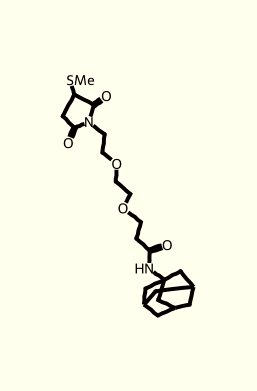 CSC1CC(=O)N(CCOCCOCCC(=O)NC23CC4CC(CC(C4)C2)C3)C1=O